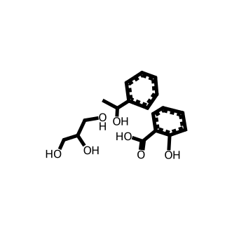 CC(O)c1ccccc1.O=C(O)c1ccccc1O.OCC(O)CO